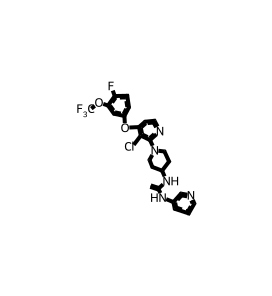 C=C(Nc1cccnc1)NC1CCN(c2nccc(Oc3ccc(F)c(OC(F)(F)F)c3)c2Cl)CC1